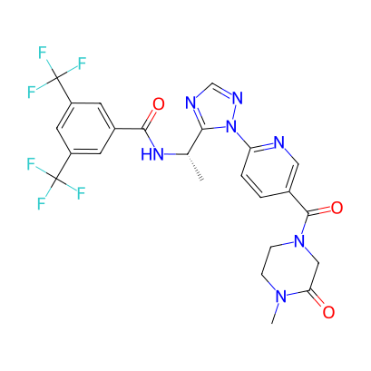 C[C@H](NC(=O)c1cc(C(F)(F)F)cc(C(F)(F)F)c1)c1ncnn1-c1ccc(C(=O)N2CCN(C)C(=O)C2)cn1